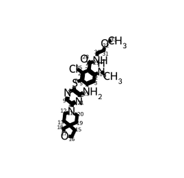 CNc1ccc(Sc2ncc(N3CCC4(CCOC4)CC3)nc2N)c(Cl)c1C(=O)NCCOC